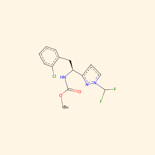 CC(C)(C)OC(=O)N[C@@H](Cc1ccccc1Cl)c1ccn(C(F)F)n1